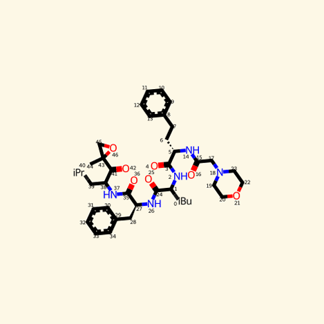 CCC(C)C(NC(=O)[C@H](CCc1ccccc1)NC(=O)CN1CCOCC1)C(=O)N[C@@H](Cc1ccccc1)C(=O)NC(CC(C)C)C(=O)C1(C)CO1